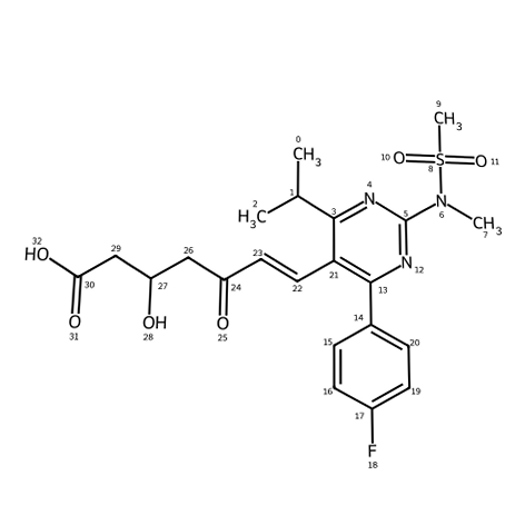 CC(C)c1nc(N(C)S(C)(=O)=O)nc(-c2ccc(F)cc2)c1/C=C/C(=O)CC(O)CC(=O)O